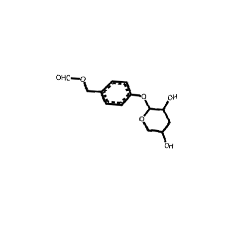 O=COCc1ccc(OC2OCC(O)CC2O)cc1